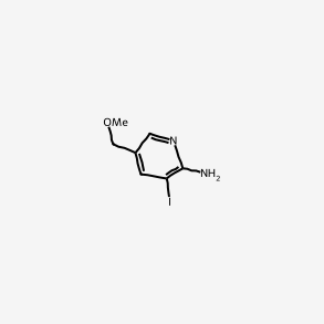 COCc1cnc(N)c(I)c1